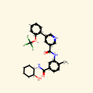 Cc1ccc(C(=O)N[C@H]2CCCC[C@@H]2O)cc1NC(=O)c1cncc(-c2ccccc2OC(F)(F)F)c1